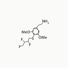 COc1cc(CCN)cc(OC)c1SCC(F)C(F)CF